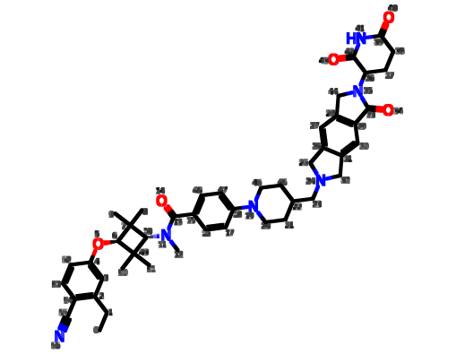 CCc1cc(O[C@H]2C(C)(C)[C@H](N(C)C(=O)c3ccc(N4CCC(CN5Cc6cc7c(cc6C5)C(=O)N(C5CCC(=O)NC5=O)C7)CC4)cc3)C2(C)C)ccc1C#N